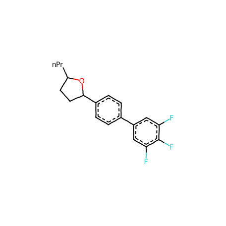 CCCC1CCC(c2ccc(-c3cc(F)c(F)c(F)c3)cc2)O1